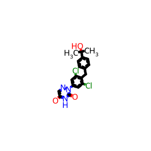 CC(C)(O)c1ccc(Cc2c(Cl)cc(-n3ncc(=O)[nH]c3=O)cc2Cl)cc1